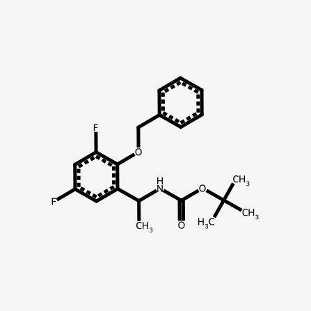 CC(NC(=O)OC(C)(C)C)c1cc(F)cc(F)c1OCc1ccccc1